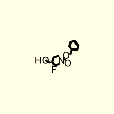 O=C(OCc1ccccc1)N1CC[C@H](CO)[C@H](F)C1